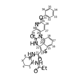 CCC(=O)N[C@@H]1CCCC[C@H]1NC(=O)c1sc2cccc3c2c1NC(=O)N3c1ccc(Oc2ccccc2)nc1C